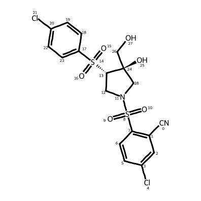 N#Cc1cc(Cl)ccc1S(=O)(=O)N1C[C@H](S(=O)(=O)c2ccc(Cl)cc2)[C@](O)(CO)C1